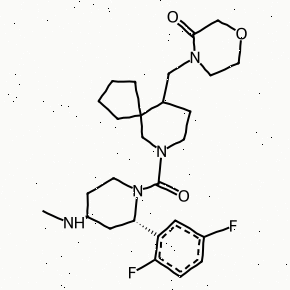 CN[C@@H]1CCN(C(=O)N2CCC(CN3CCOCC3=O)C3(CCCC3)C2)[C@H](c2cc(F)ccc2F)C1